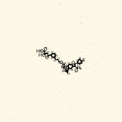 CNC(=O)c1c(-c2ccc(F)cc2)oc2cc(N(CCOCCCc3cccc(C(=O)C=C(O)C(=O)O)c3)S(C)(=O)=O)c(C3CC3)cc12